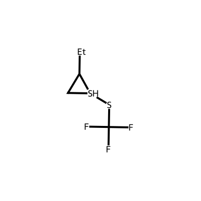 CCC1C[SH]1SC(F)(F)F